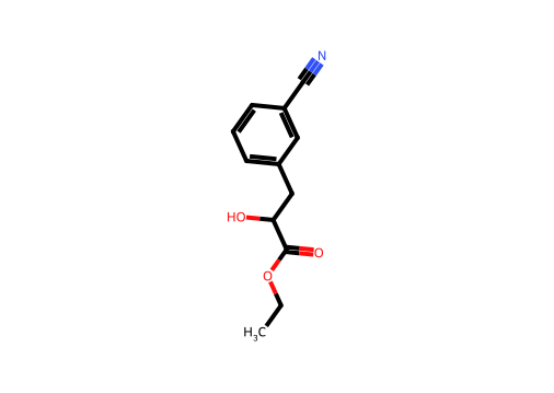 CCOC(=O)C(O)Cc1cccc(C#N)c1